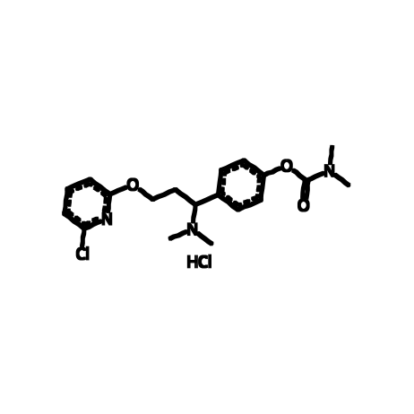 CN(C)C(=O)Oc1ccc(C(CCOc2cccc(Cl)n2)N(C)C)cc1.Cl